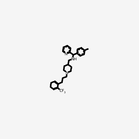 Cc1ccc(C(NCC2CCN(CCCC3=CCCC=C3C(F)(F)F)CC2)c2ccccn2)cc1